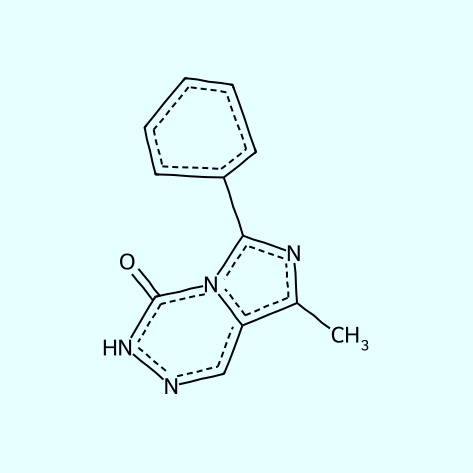 Cc1nc(-c2ccccc2)n2c(=O)[nH]ncc12